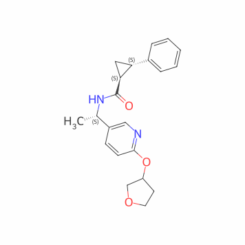 C[C@H](NC(=O)[C@H]1C[C@@H]1c1ccccc1)c1ccc(OC2CCOC2)nc1